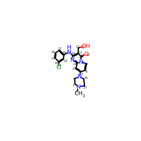 CN1CCN(c2ccn3c(=O)c(CO)c(Nc4cccc(Cl)c4)nc3c2)CC1